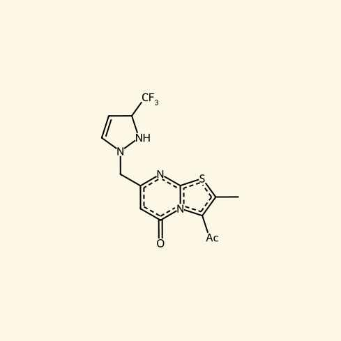 CC(=O)c1c(C)sc2nc(CN3C=CC(C(F)(F)F)N3)cc(=O)n12